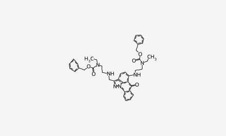 CCN(CCNCc1nn2c3ccccc3c(=O)c3c(NCCN(CC)C(=O)OCc4ccccc4)ccc1c32)C(=O)OCc1ccccc1